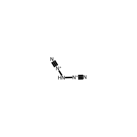 N#[N+]N[N+]#N